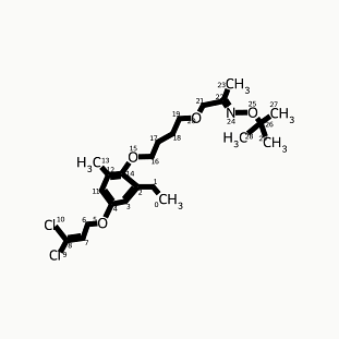 CCc1cc(OCC=C(Cl)Cl)cc(C)c1OCCCCOCC(C)=NOC(C)(C)C